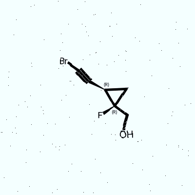 OC[C@@]1(F)C[C@@H]1C#CBr